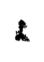 O=C(NCCOCCOCCNc1nc(Nc2ccccc2)nc(Nc2ccc(O)c(Cl)c2)n1)c1ccccc1